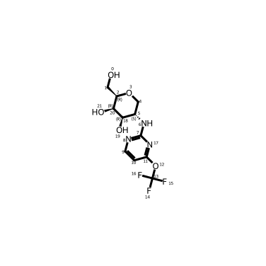 OC[C@H]1OC[C@H](Nc2nccc(OC(F)(F)F)n2)[C@@H](O)[C@H]1O